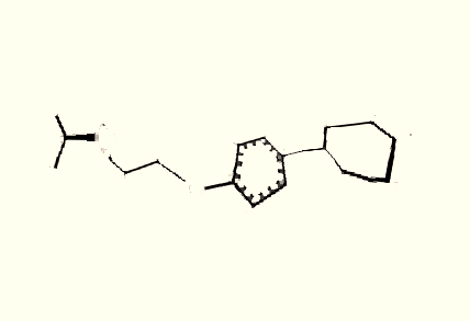 CC(C)OCCOc1ccc(C2CCCCC2)cc1